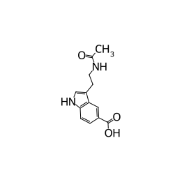 CC(=O)NCCc1c[nH]c2ccc(C(=O)O)cc12